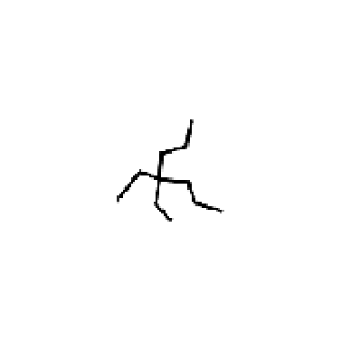 CCCC(CC)(CI)CCC